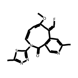 CO/C1=C/C=C\N(c2nnc(C)s2)C(=O)c2cnc(C)cc2C1=CF